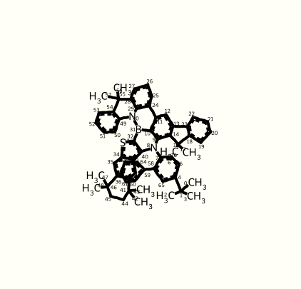 CC(C)(C)c1ccc(N2c3c4c(cc5c3C(C)(C)c3ccccc3-5)-c3cccc5c3N(B4c3sc4cc6c(cc4c32)C(C)(C)CCC6(C)C)c2ccccc2C5(C)C)c(-c2ccccc2)c1